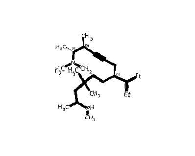 CCC(CC)[C@H](CC#C[C@H](C)[C@@H](C)N(C)C)CCC(C)(C)CC(C)PC